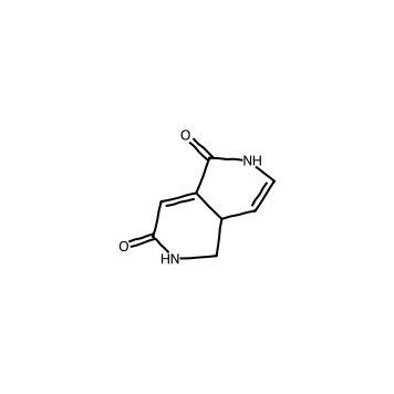 O=C1C=C2C(=O)NC=CC2CN1